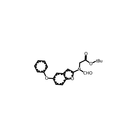 CC(C)(C)OC(=O)CN(C=O)c1cc2cc(Oc3ccccc3)ccc2o1